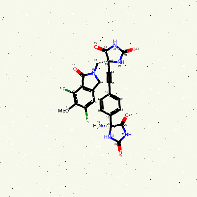 COc1c(F)cc2c(c1F)C(=O)N(C[C@@]1(C#Cc3ccc([C@]4(N)NC(=O)NC4=O)cc3)NC(=O)NC1=O)C2